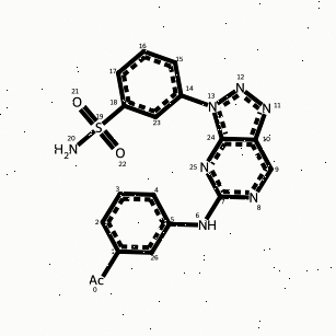 CC(=O)c1cccc(Nc2ncc3nnn(-c4cccc(S(N)(=O)=O)c4)c3n2)c1